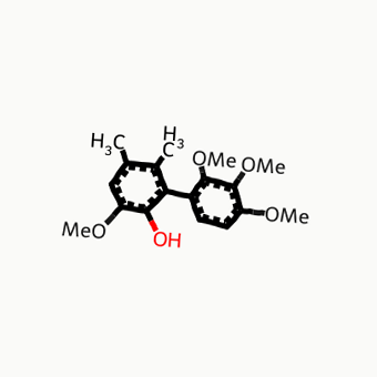 COc1cc(C)c(C)c(-c2ccc(OC)c(OC)c2OC)c1O